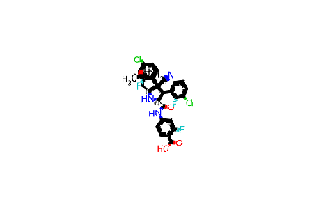 CC(C)(C)C[C@@H]1N[C@@H](C(=O)Nc2ccc(C(=O)O)c(F)c2)C(c2cccc(Cl)c2F)C1(C#N)c1ccc(Cl)cc1F